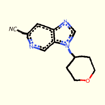 N#Cc1cc2ncn(C3CCOCC3)c2cn1